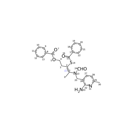 C/C(=C(\CCOC(=O)c1ccccc1)SC(=O)c1ccccc1)N(C=O)Cc1ccc(C)nc1N